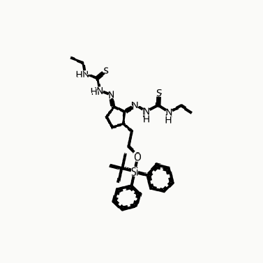 CCNC(=S)N/N=C1\CCC(CCO[Si](c2ccccc2)(c2ccccc2)C(C)(C)C)\C1=N/NC(=S)NCC